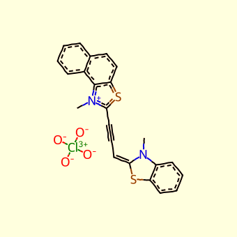 CN1/C(=C\C#Cc2sc3ccc4ccccc4c3[n+]2C)Sc2ccccc21.[O-][Cl+3]([O-])([O-])[O-]